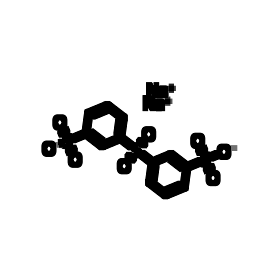 O=S(=O)([O-])c1cccc(S(=O)(=O)c2cccc(S(=O)(=O)[O-])c2)c1.[Na+].[Na+]